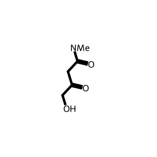 CNC(=O)CC(=O)CO